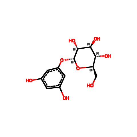 OC[C@H]1O[C@H](Oc2cc(O)cc(O)c2)[C@H](O)[C@@H](O)[C@@H]1O